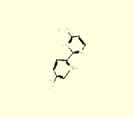 Cc1c[c]nc(-c2ccc(C(F)(F)F)cn2)n1